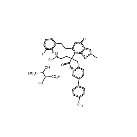 CCN(CC)CCC(Cc1ccc(-c2ccc(C(F)(F)F)cc2)cc1)(C(N)=O)n1c(CCc2cccc(F)c2F)cc(=O)c2cn(C)nc21.O=C(O)C(O)C(O)C(=O)O